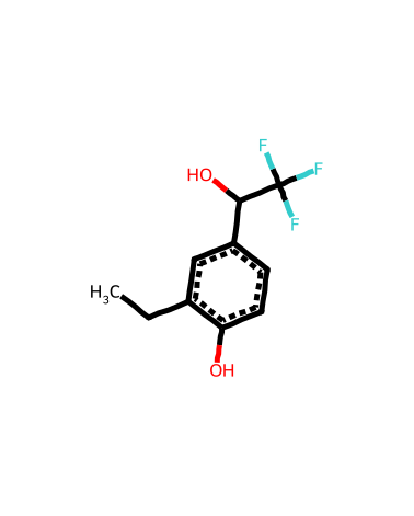 CCc1cc(C(O)C(F)(F)F)ccc1O